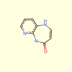 O=C1C=CNc2cccnc2[N]1